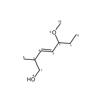 CCC(/C=C/C(C)CO)OC